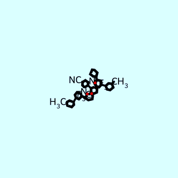 Cc1cccc(-c2ccc3c(c2)c2ccccc2n3-c2cc(C#N)cc(-n3c4ccccc4c4cc(-c5cccc(C)c5)ccc43)c2-c2c(C(F)(F)F)cccc2C(F)(F)F)c1